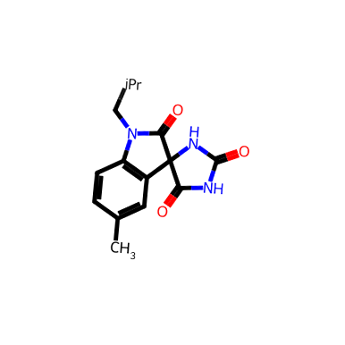 Cc1ccc2c(c1)C1(NC(=O)NC1=O)C(=O)N2CC(C)C